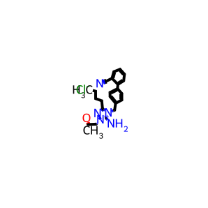 CCCCc1n[n+](CC(C)=O)c(N)n1Cc1ccc(-c2ccccc2C#N)cc1.[Cl-]